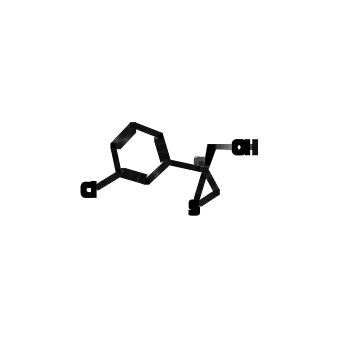 OC[C@@]1(c2cccc(Cl)c2)CS1